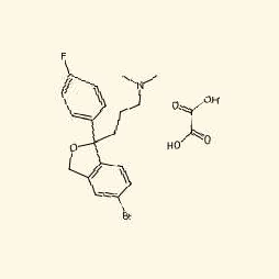 CN(C)CCCC1(c2ccc(F)cc2)OCc2cc(Br)ccc21.O=C(O)C(=O)O